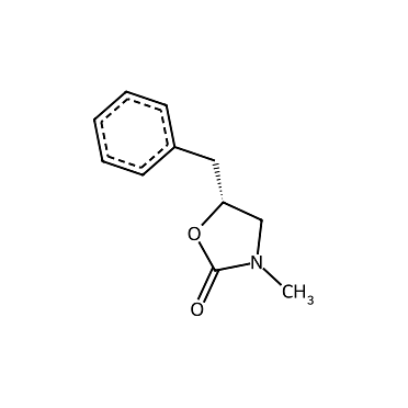 CN1C[C@@H](Cc2ccccc2)OC1=O